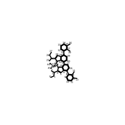 CCC(C)C1=Cc2c(-c3cccc(C)c3C)cccc2[CH]1[Zr]([CH]1C(C(C)CC)=Cc2c(-c3cccc(C)c3C)cccc21)[SiH](C)C